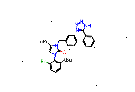 CCCc1cn(-c2c(Br)cccc2C(C)(C)C)c(=O)n1Cc1ccc(-c2ccccc2-c2nnn[nH]2)cc1